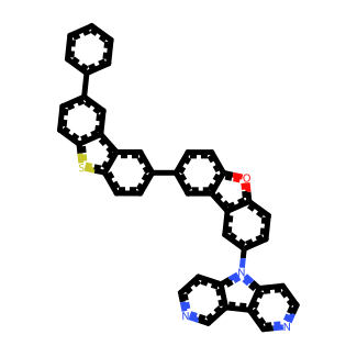 c1ccc(-c2ccc3sc4ccc(-c5ccc6oc7ccc(-n8c9ccncc9c9cnccc98)cc7c6c5)cc4c3c2)cc1